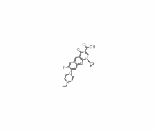 CCN1CCN(c2cc3nc4c(cc3cc2F)c(=O)c(C(=O)O)cn4C2CC2)CC1